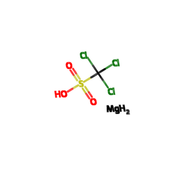 O=S(=O)(O)C(Cl)(Cl)Cl.[MgH2]